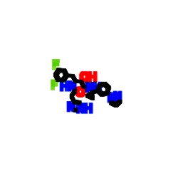 O=C(Cc1c[nH]cn1)NC(Cc1cc(F)cc(F)c1)C(O)CNC1(c2cccc(-n3cccn3)c2)CC1